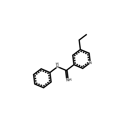 CCc1cncc(C(=N)Nc2ccccc2)c1